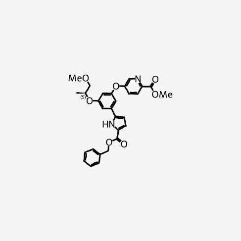 COC[C@H](C)Oc1cc(Oc2ccc(C(=O)OC)nc2)cc(-c2ccc(C(=O)OCc3ccccc3)[nH]2)c1